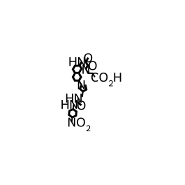 O=C(O)CCn1c(=O)c(=O)[nH]c2ccc3ccc(-n4ccc(CNC(=O)Nc5ccc([N+](=O)[O-])cc5)c4)cc3c21